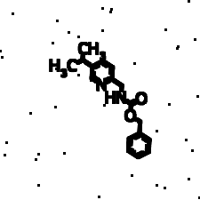 CC(C)c1ccc(CNC(=O)OCc2ccccc2)nc1